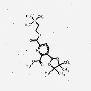 COC(=O)c1nc(C(=O)OCC[Si](C)(C)C)ccc1B1OC(C)(C)C(C)(C)O1